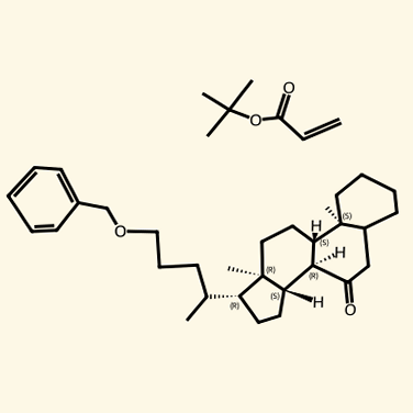 C=CC(=O)OC(C)(C)C.CC(CCCOCc1ccccc1)[C@H]1CC[C@H]2[C@@H]3C(=O)CC4CCCC[C@]4(C)[C@H]3CC[C@]12C